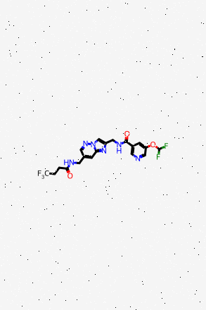 O=C(CCC(F)(F)F)NCc1cnn2cc(CNC(=O)c3cncc(OC(F)F)c3)nc2c1